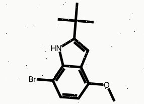 COc1ccc(Br)c2[nH]c(C(C)(C)C)cc12